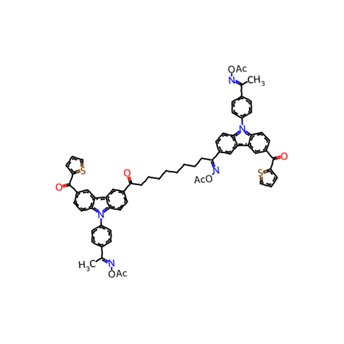 CC(=O)ON=C(C)c1ccc(-n2c3ccc(C(=O)CCCCCCCCC(=NOC(C)=O)c4ccc5c(c4)c4cc(C(=O)c6cccs6)ccc4n5-c4ccc(C(C)=NOC(C)=O)cc4)cc3c3cc(C(=O)c4cccs4)ccc32)cc1